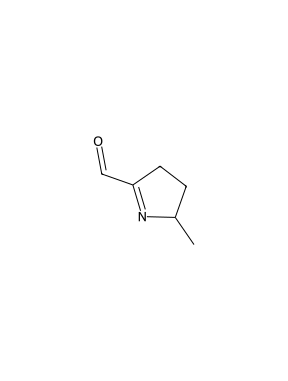 CC1CCC(C=O)=N1